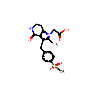 Cc1c(Cc2ccc(S(C)(=O)=O)cc2)c2c(n1CC(=O)O)CCNC2=O